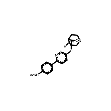 CC(=O)Nc1ccc(-c2ccc(O[C@H]3CN4CCC3CC4)nn2)cc1